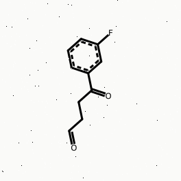 O=CCCC(=O)c1cccc(F)c1